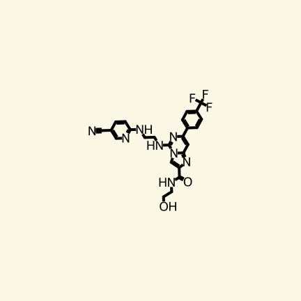 N#Cc1ccc(NCCNc2nc(-c3ccc(C(F)(F)F)cc3)cc3nc(C(=O)NCCO)cn23)nc1